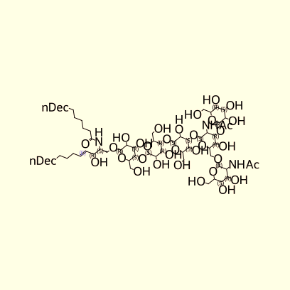 CCCCCCCCCCCCC/C=C/[C@@H](O)[C@H](CO[C@@H]1OC(CO)[C@@H](O[C@@H]2OC(CO)[C@H](O[C@@H]3OC(CO)[C@H](O)[C@H](O[C@@H]4OC(CO[C@@H]5OC(CO)[C@@H](O)[C@H](O)C5NC(C)=O)[C@H](O)[C@H](O[C@@H]5OC(CO)[C@H](O)[C@H](O)C5O)C4NC(C)=O)C3O)[C@H](O)C2O)[C@H](O)C1O)NC(=O)CCCCCCCCCCCCCCC